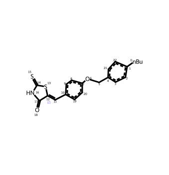 CCCCc1ccc(COc2ccc(/C=C3\SC(=S)NC3=O)cc2)cc1